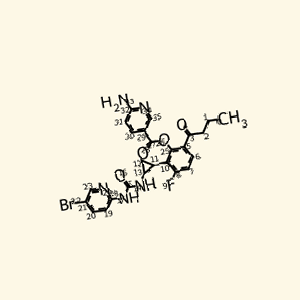 CCCC(=O)c1ccc(F)c([C@@H]2C[C@@H]2NC(=O)Nc2ccc(Br)cn2)c1OC(=O)c1ccc(N)nc1